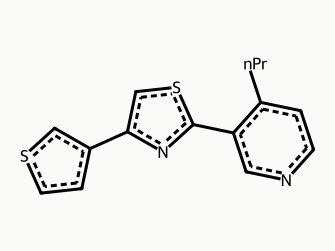 CCCc1ccncc1-c1nc(-c2ccsc2)cs1